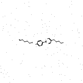 C=CCCCCCOc1ccc(-c2ncc(CCCCC[C@@H](C)CC)cn2)cc1